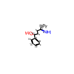 CCCC(=N)CCC(O)c1ccccc1